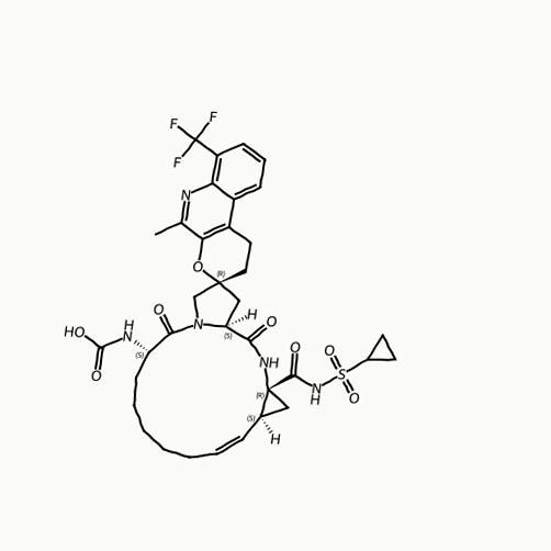 Cc1nc2c(C(F)(F)F)cccc2c2c1O[C@]1(CC2)C[C@H]2C(=O)N[C@]3(C(=O)NS(=O)(=O)C4CC4)C[C@H]3C=CCCCCC[C@H](NC(=O)O)C(=O)N2C1